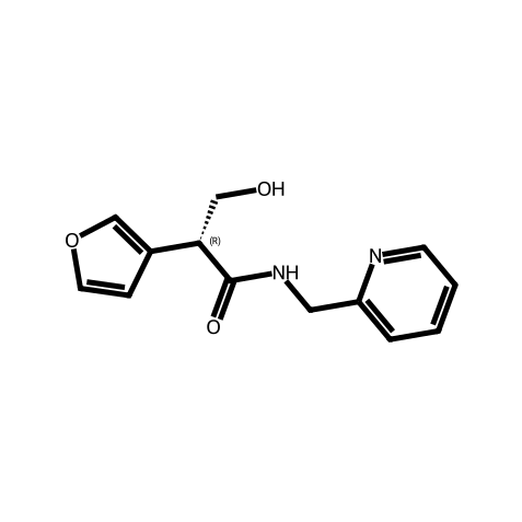 O=C(NCc1ccccn1)[C@@H](CO)c1ccoc1